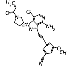 C=CC(=O)N1CC[C@H](n2nc(C#Cc3cc(C#N)cc(OC)c3)c3c(N)ncc(Cl)c32)C1